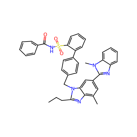 CCCc1nc2c(C)cc(-c3nc4ccccc4n3C)cc2n1Cc1ccc(-c2ccccc2S(=O)(=O)NC(=O)c2ccccc2)cc1